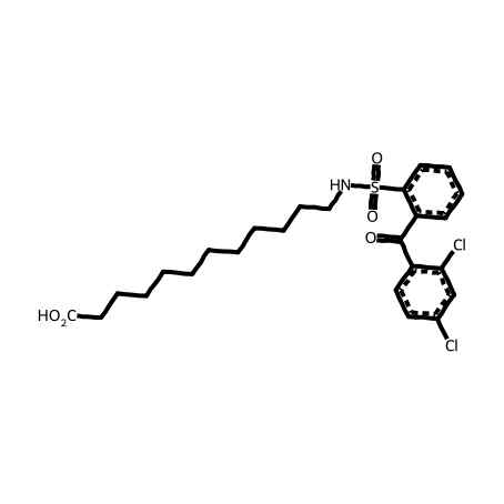 O=C(O)CCCCCCCCCCCNS(=O)(=O)c1ccccc1C(=O)c1ccc(Cl)cc1Cl